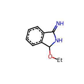 CCOC1NC(=N)c2ccccc21